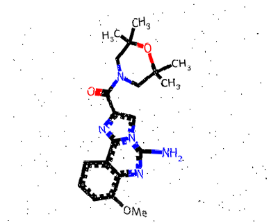 COc1cccc2c1nc(N)n1cc(C(=O)N3CC(C)(C)OC(C)(C)C3)nc21